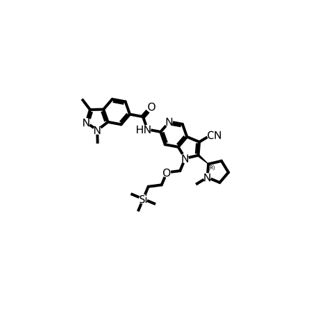 Cc1nn(C)c2cc(C(=O)Nc3cc4c(cn3)c(C#N)c([C@H]3CCCN3C)n4COCC[Si](C)(C)C)ccc12